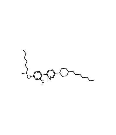 CCCCCCC[C@H]1CC[C@H](c2ccc(-c3ccc(O[C@@H](C)CCCCCC)cc3F)nc2)CC1